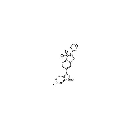 O=S1(=O)c2ccc(-c3c[nH]c4cc(F)ccc34)cc2CN1C1CCOC1